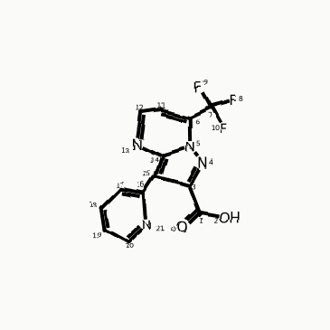 O=C(O)c1nn2c(C(F)(F)F)ccnc2c1-c1ccccn1